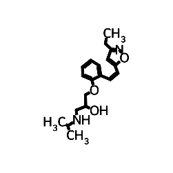 CCc1cc(/C=C\c2ccccc2OCC(O)CNC(C)C)on1